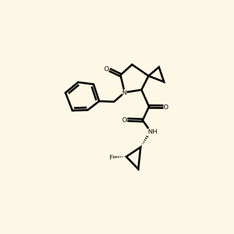 O=C(N[C@@H]1C[C@@H]1F)C(=O)C1N(Cc2ccccc2)C(=O)CC12CC2